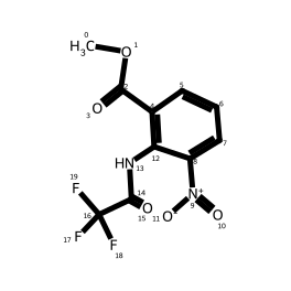 COC(=O)c1cccc([N+](=O)[O-])c1NC(=O)C(F)(F)F